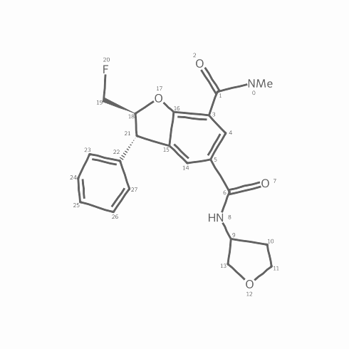 CNC(=O)c1cc(C(=O)NC2CCOC2)cc2c1O[C@H](CF)[C@H]2c1ccccc1